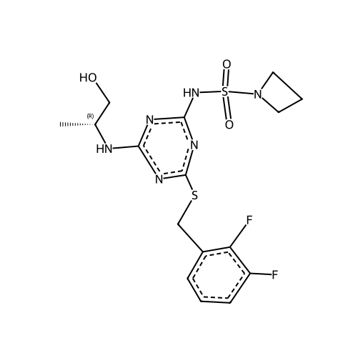 C[C@H](CO)Nc1nc(NS(=O)(=O)N2CCC2)nc(SCc2cccc(F)c2F)n1